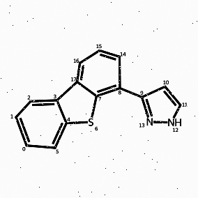 c1ccc2c(c1)sc1c(-c3cc[nH]n3)cccc12